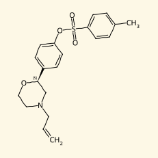 C=CCN1CCO[C@@H](c2ccc(OS(=O)(=O)c3ccc(C)cc3)cc2)C1